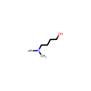 [CH2]CCN(C)CCCCO